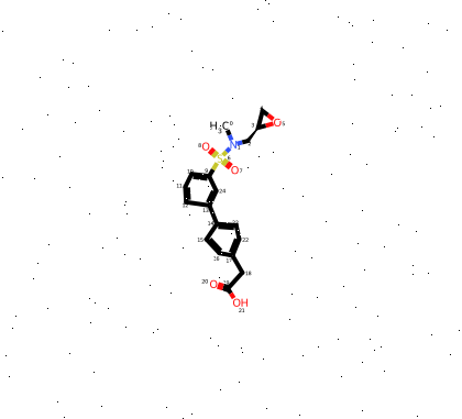 CN(C[C@H]1CO1)S(=O)(=O)c1cccc(-c2ccc(CC(=O)O)cc2)c1